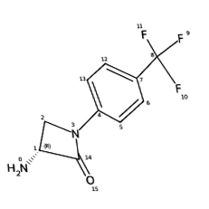 N[C@@H]1CN(c2ccc(C(F)(F)F)cc2)C1=O